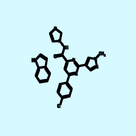 Cn1cc(-c2nc(C(=O)NN3C=COC3)cc(-c3ccc(Cl)cc3)n2)cn1.c1ccc2[nH]ccc2c1